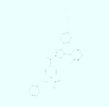 Cn1c(C(=O)N2CCC(NCc3ccc(F)cc3)(C(N)=O)CC2)cc(-c2ccccc2Cl)c1-c1ccc(OCCCO)cc1